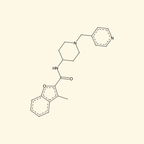 Cc1c(C(=O)NC2CCN(Cc3ccncc3)CC2)oc2ccccc12